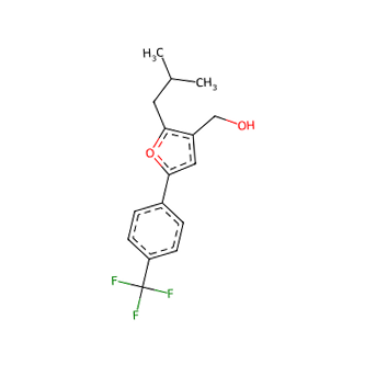 CC(C)Cc1oc(-c2ccc(C(F)(F)F)cc2)cc1CO